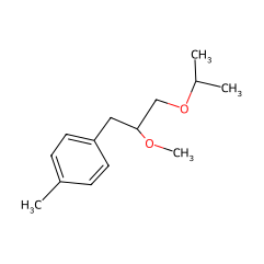 COC(COC(C)C)Cc1ccc(C)cc1